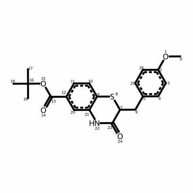 COc1ccc(CC2Sc3ccc(C(=O)OC(C)(C)C)cc3NC2=O)cc1